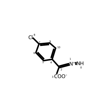 N=[N+]=C(C(=O)[O-])c1ccc(Cl)cc1